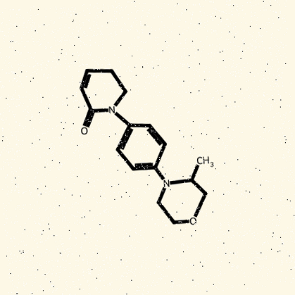 CC1COCCN1c1ccc(N2CCC=CC2=O)cc1